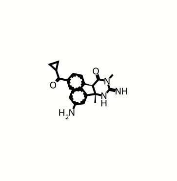 CN1C(=N)N[C@](C)(c2cccc(N)c2)[C@@H](c2ccc(C(=O)C3CC3)cc2)C1=O